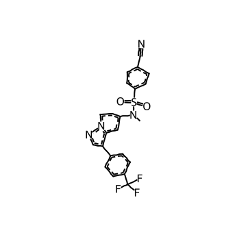 CN(c1ccn2ncc(-c3ccc(C(F)(F)F)cc3)c2c1)S(=O)(=O)c1ccc(C#N)cc1